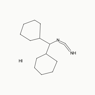 I.N=C=NC(C1CCCCC1)C1CCCCC1